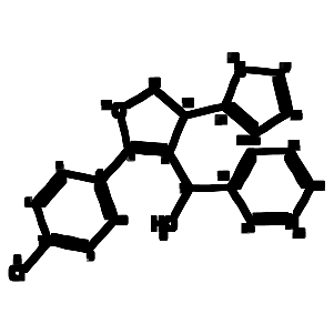 OC(C1=C(c2ccc(Cl)cc2)OCC1c1cccs1)c1cccnc1